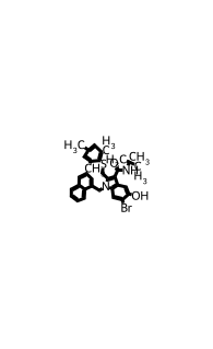 Cc1cc(C)c(SCc2c(C(=O)NC(C)(C)C)c3cc(O)c(Br)cc3n2Cc2cccc3ccccc23)c(C)c1